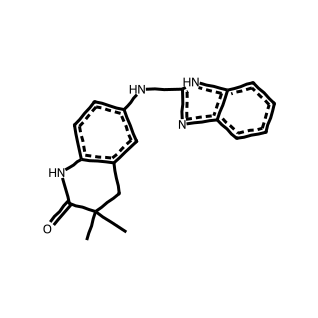 CC1(C)Cc2cc(Nc3nc4ccccc4[nH]3)ccc2NC1=O